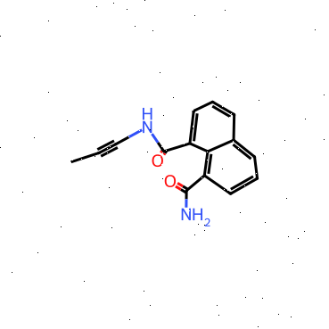 CC#CNC(=O)c1cccc2cccc(C(N)=O)c12